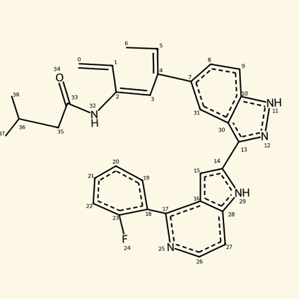 C=C/C(=C\C(=C/C)c1ccc2[nH]nc(-c3cc4c(-c5ccccc5F)nccc4[nH]3)c2c1)NC(=O)CC(C)C